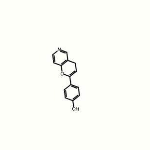 Oc1ccc(C2=CCc3cnccc3O2)cc1